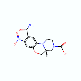 NC(=O)c1cc2c(cc1[N+](=O)[O-])OC[C@H]1CN(C(=O)O)CCN21